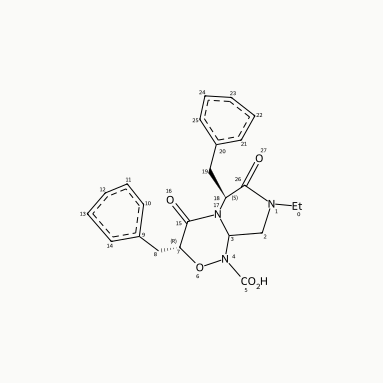 CCN1CC2N(C(=O)O)O[C@H](Cc3ccccc3)C(=O)N2[C@@H](Cc2ccccc2)C1=O